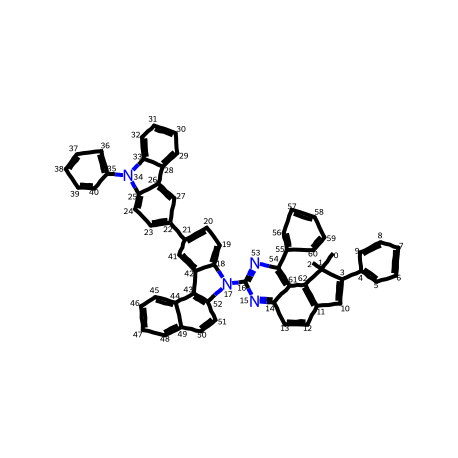 CC1(C)C(c2ccccc2)=Cc2ccc3nc(-n4c5ccc(-c6ccc7c(c6)c6ccccc6n7-c6ccccc6)cc5c5c6ccccc6ccc54)nc(-c4ccccc4)c3c21